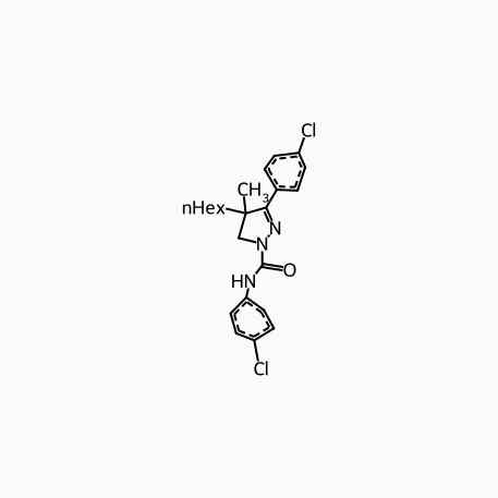 CCCCCCC1(C)CN(C(=O)Nc2ccc(Cl)cc2)N=C1c1ccc(Cl)cc1